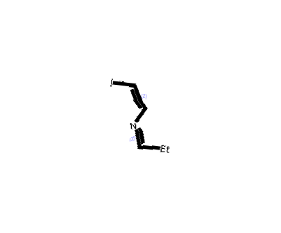 CC/C=N\C=C/I